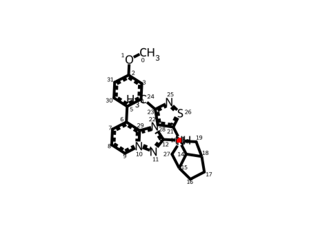 COc1ccc(-c2cccn3nc(NC4C5CCC4CN(c4cc(C)ns4)C5)nc23)cc1